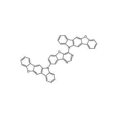 c1ccc2c(c1)oc1cc3c4ccccc4n(-c4ccc5oc6c(-n7c8ccccc8c8cc9oc%10ccccc%10c9cc87)ncnc6c5c4)c3cc12